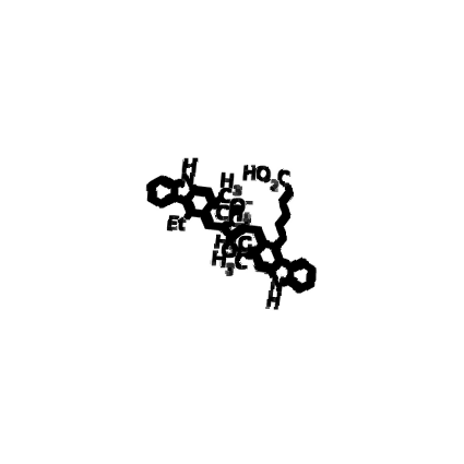 CCC1=c2c([nH]c3ccccc23)=CC(C)(C)C1=CC1C(O)=C(C=C2C(CCCCCC(=O)O)=c3c([nH]c4ccccc34)=CC2(C)C)[C+]1[O-]